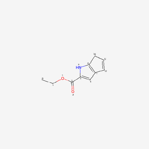 CCOC(=O)c1cc2c([nH]1)CC=C2